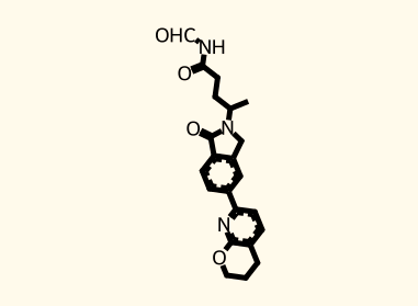 CC(CCC(=O)NC=O)N1Cc2cc(-c3ccc4c(n3)OCCC4)ccc2C1=O